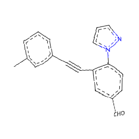 Cc1cccc(C#Cc2cc(C=O)ccc2-n2cccn2)c1